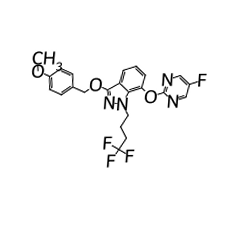 COc1ccc(COc2nn(CCCC(F)(F)F)c3c(Oc4ncc(F)cn4)cccc23)cc1